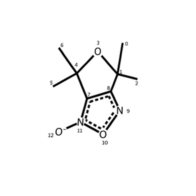 CC1(C)OC(C)(C)c2c1no[n+]2[O-]